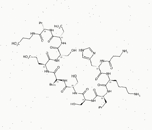 CC[C@H](C)[C@H](NC(=O)[C@H](CO)NC(=O)[C@H](CO)NC(=O)[C@H](CC(C)C)NC(=O)[C@H](CCCCN)NC(=O)[C@H](Cc1c[nH]cn1)NC(=O)CCN)C(=O)N[C@@H](CCC(=O)O)C(=O)N[C@@H](CO)C(=O)N[C@@H](CC(=O)O)C(=O)N[C@H](C(=O)NCCC(=O)O)C(C)C